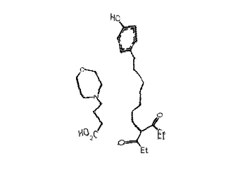 CCC(=O)C(CCCCCCc1ccc(O)cc1)C(=O)CC.O=C(O)CCCN1CCOCC1